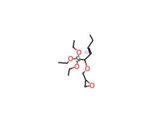 CC/C=C/C(OCC1CO1)[Si](OCC)(OCC)OCC